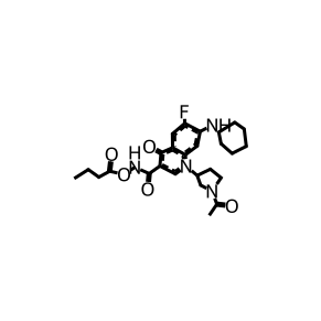 CCCC(=O)ONC(=O)c1cn(C2CCN(C(C)=O)C2)c2cc(NC3CCCCC3)c(F)cc2c1=O